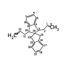 C=CCC1c2ccccc2C(CC=C)C12Cc1ccccc1C2